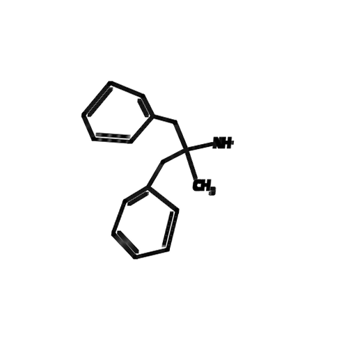 CC([NH])(Cc1ccccc1)Cc1ccccc1